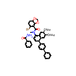 COc1cc2c(-c3ccc(-c4ccccc4)cc3)ccc(N(C)C(=O)c3c(Br)ccc4c3OCO4)c2cc1OC.NC(=O)c1ccccc1